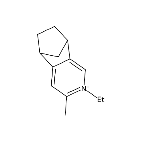 CC[n+]1cc2c(cc1C)C1CCC2C1